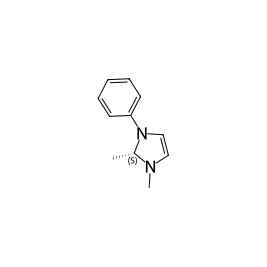 C[C@H]1N(C)C=CN1c1ccccc1